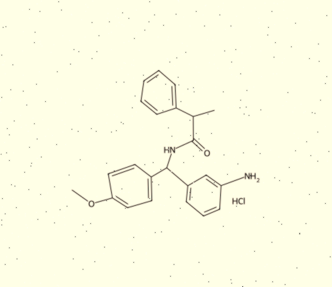 COc1ccc(C(NC(=O)C(C)c2ccccc2)c2cccc(N)c2)cc1.Cl